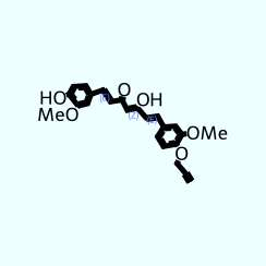 C#CCOc1ccc(/C=C/C(O)=C/C(=O)/C=C/c2ccc(O)c(OC)c2)cc1OC